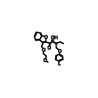 [CH]c1ccc(OC[C@H](CC)N(O)C(=O)c2oc3ccccc3c2COCCOC)cc1